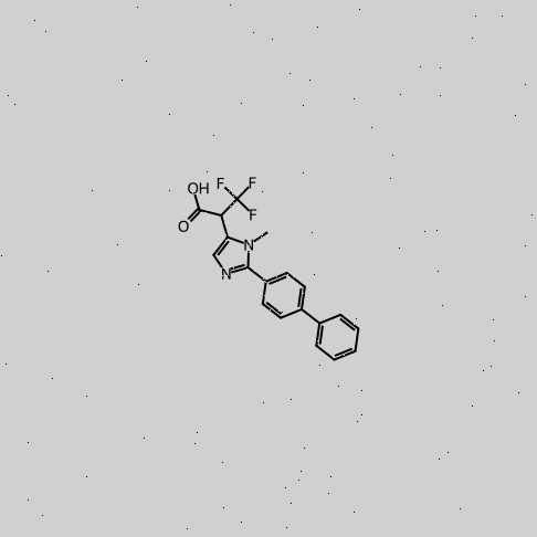 Cn1c(C(C(=O)O)C(F)(F)F)cnc1-c1ccc(-c2ccccc2)cc1